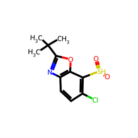 CC(C)(C)c1nc2ccc(Cl)c([SH](=O)=O)c2o1